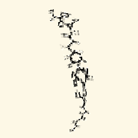 CCCCCCC=CC(=O)Oc1cnc(-c2ccc(CCCCC(C)OC(=O)CC)cc2)nc1